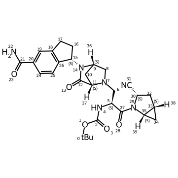 CC(C)(C)OC(=O)N[C@@H](CN1C[C@@H]2C[C@H]1C(=O)N2[C@H]1CCc2cc(C(N)=O)ccc21)C(=O)N1[C@H](C#N)C[C@@H]2C[C@@H]21